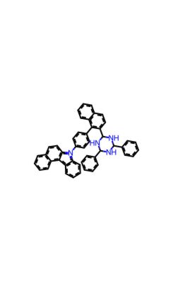 c1ccc(C2NC(c3ccccc3)NC(c3ccc4ccccc4c3-c3ccc(-n4c5ccccc5c5c6ccccc6ccc54)cc3)N2)cc1